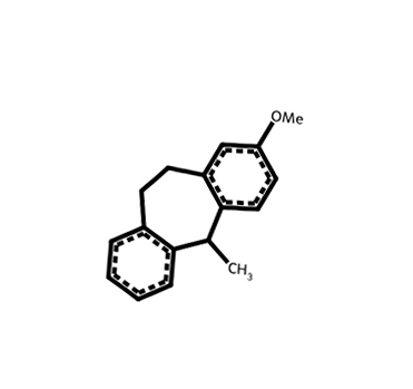 COc1ccc2c(c1)CCc1ccccc1C2C